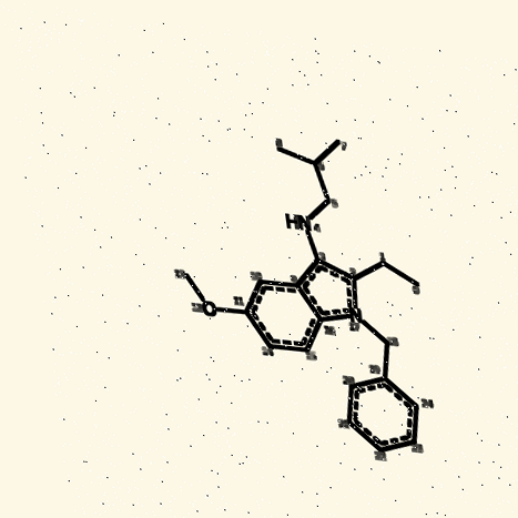 CCc1c(NCC(C)C)c2cc(OC)ccc2n1Cc1ccccc1